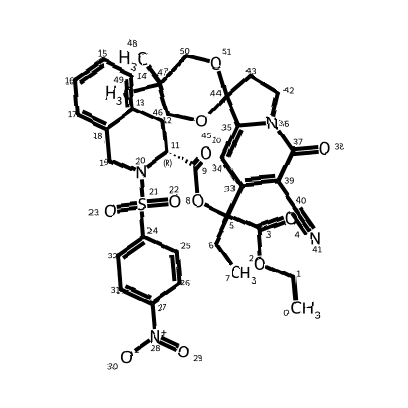 CCOC(=O)C(CC)(OC(=O)[C@H]1Cc2ccccc2CN1S(=O)(=O)c1ccc([N+](=O)[O-])cc1)c1cc2n(c(=O)c1C#N)CCC21OCC(C)(C)CO1